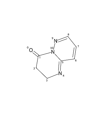 O=C1CCN=C2C=CC=NN12